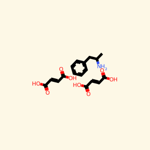 CC(N)Cc1ccccc1.O=C(O)/C=C/C(=O)O.O=C(O)/C=C/C(=O)O